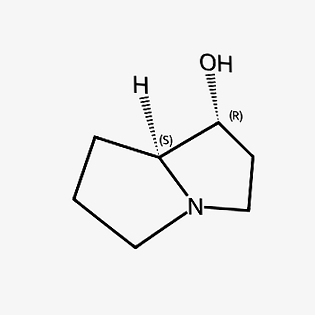 O[C@@H]1CCN2CCC[C@@H]12